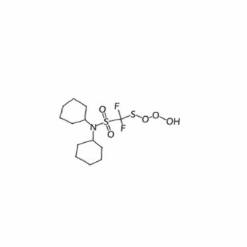 O=S(=O)(N(C1CCCCC1)C1CCCCC1)C(F)(F)SOOO